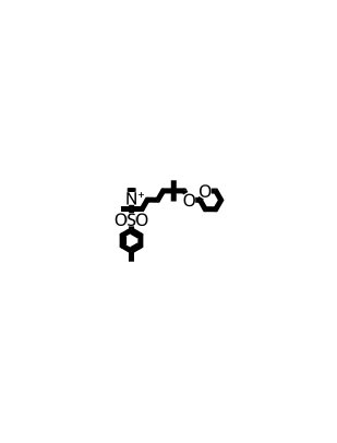 C#[N+]C(C)(CCCCC(C)(C)COC1CCCCO1)S(=O)(=O)c1ccc(C)cc1